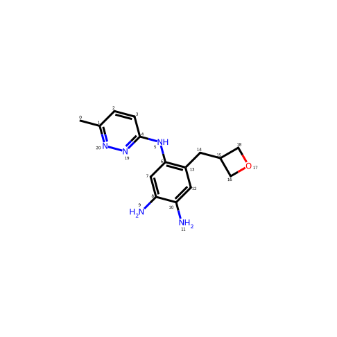 Cc1ccc(Nc2cc(N)c(N)cc2CC2COC2)nn1